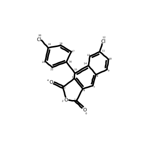 O=C1OC(=O)c2c1cc1ccc(Cl)cc1c2-c1ccc(Cl)cc1